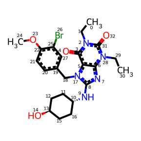 CCn1c(=O)c2c(nc(N[C@H]3CC[C@H](O)CC3)n2Cc2ccc(OC)c(Br)c2)n(CC)c1=O